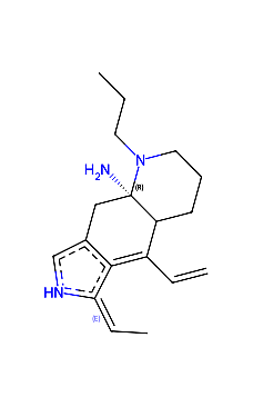 C=CC1=c2c(c[nH]/c2=C/C)C[C@]2(N)C1CCCN2CCC